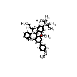 CCNC(=O)N1c2ccccc2NC2=C(C(=O)CC(c3ccc(OC)cc3)C2)C1c1ccc(N(C(C)C)C(C)C)cc1OC